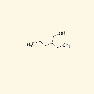 CCCC(CC)CO